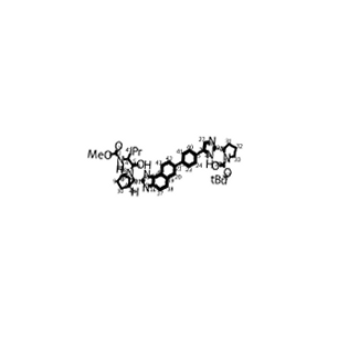 COC(=O)NC(C(=O)N1[C@@H]2CC[C@@H](C2)[C@H]1c1nc2ccc3cc(-c4ccc(-c5cnc([C@@H]6CCCN6C(=O)OC(C)(C)C)[nH]5)cc4)ccc3c2[nH]1)C(C)C